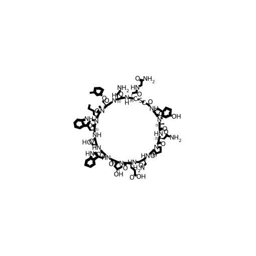 CCCC[C@H]1C(=O)N(C)[C@@H](COc2cccc(C)c2)C(=O)N[C@@H](CCN)C(=O)N[C@H](CC(=O)NCC(N)=O)CSCC(=O)N[C@@H](Cc2ccc(O)cc2)C(=O)N(C)[C@@H](C)C(=O)N[C@@H](CC(N)=O)C(=O)N2CCC[C@H]2C(=O)N[C@@H](CN)C(=O)N[C@@H](CCC(=O)O)C(=O)N2C[C@H](O)C[C@H]2C(=O)N[C@@H](Cc2c[nH]c3ccccc23)C(=O)N[C@@H](CO)C(=O)N[C@@H](Cc2c[nH]c3ccccc23)C(=O)N1C